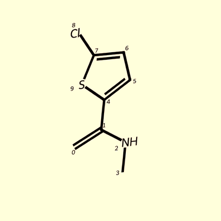 C=C(NC)c1ccc(Cl)s1